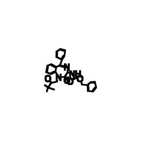 CC(C)(C)C(=O)CN1C(=O)C(NC(=O)OCc2ccccc2)N=C(c2ccccc2)c2ccccc21